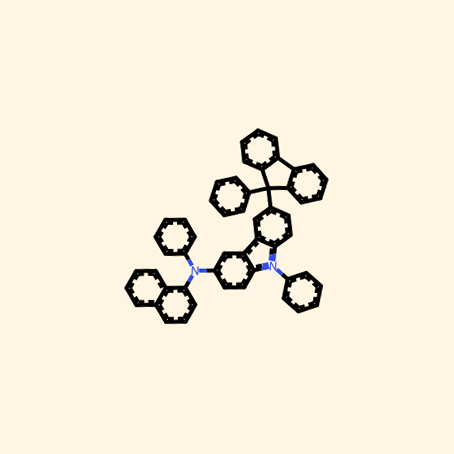 c1ccc(N(c2ccc3c(c2)c2cc(C4(c5ccccc5)c5ccccc5-c5ccccc54)ccc2n3-c2ccccc2)c2cccc3ccccc23)cc1